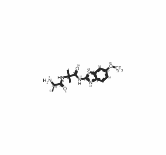 C[C@@H](N)C(=O)NC(C)(C)C(=O)Nc1nc2ccc(OC(F)(F)F)cc2s1